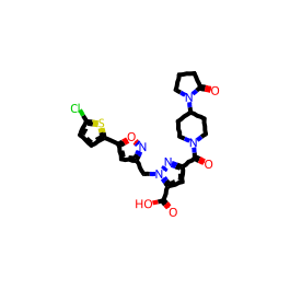 O=C(O)c1cc(C(=O)N2CCC(N3CCCC3=O)CC2)nn1Cc1cc(-c2ccc(Cl)s2)on1